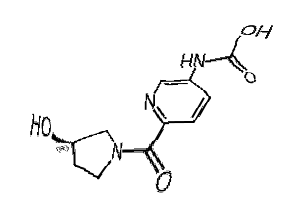 O=C(O)Nc1ccc(C(=O)N2CC[C@@H](O)C2)nc1